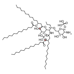 CCCCCCCCCCCCCC(=O)OC(CCCCCCCCCCC)CC(=O)NC(C(OC(=O)CC(CCCCCCCCCCC)OC(=O)CCCCCCCCCCCCC)[C@H](OP(=O)(O)O)C(C)CO)[C@@H](CCC)OCC1O[C@H](OP(=O)(O)O)C(N)C(O)[C@@H]1O